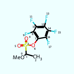 COC(C)S(=O)(=O)Oc1c(F)c(F)c(F)c(F)c1F